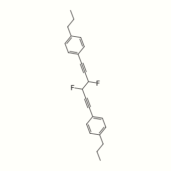 CCCc1ccc(C#CC(F)C(F)C#Cc2ccc(CCC)cc2)cc1